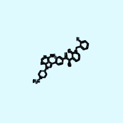 CN1CCC(n2cc(-c3ccc(NC(=O)c4cccn(Cc5ccccc5F)c4=O)cc3)c3c(N)ncnc32)CC1